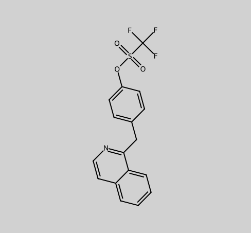 O=S(=O)(Oc1ccc(Cc2nccc3ccccc23)cc1)C(F)(F)F